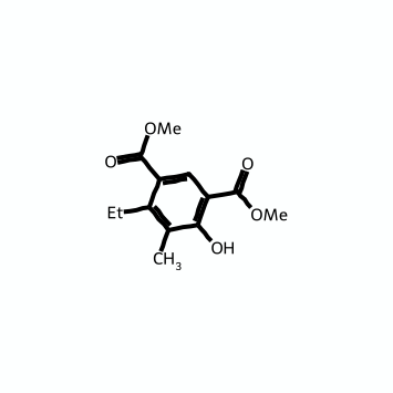 CCc1c(C(=O)OC)cc(C(=O)OC)c(O)c1C